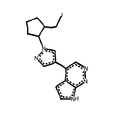 ICC1CCCC1n1cc(-c2cnnc3[nH]ccc23)cn1